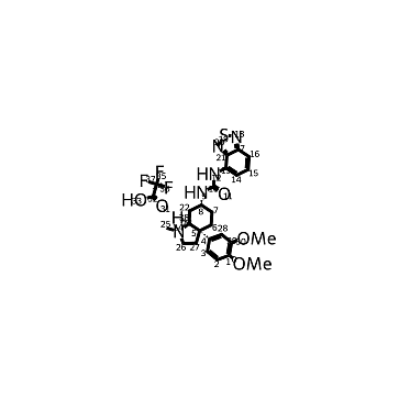 COc1ccc([C@@]23CC[C@@H](NC(=O)Nc4cccc5nsnc45)C[C@@H]2N(C)CC3)cc1OC.O=C(O)C(F)(F)F